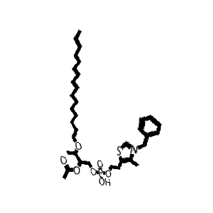 CCCCCCCCCCCCCCCCOC(C)C(COP(=O)(O)OCCC1=C(C)N(Cc2ccccc2)CS1)OC(C)=O